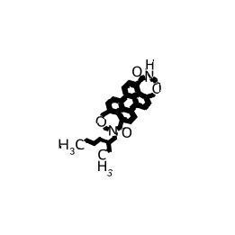 CCCCC(CC)CN1COCc2ccc3c4ccc5c6c(ccc(c7ccc(c2c37)C1=O)c64)COCNC5=O